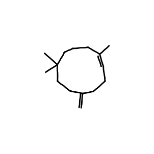 C=C1CCC=C(C)CC[CH]C(C)(C)CC1